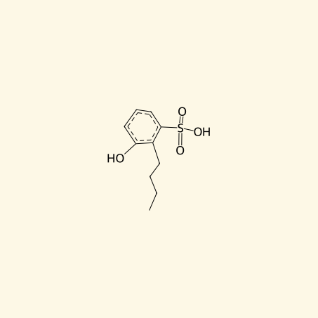 CCCCc1c(O)cccc1S(=O)(=O)O